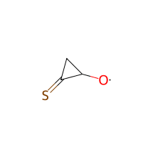 [O]C1CC1=S